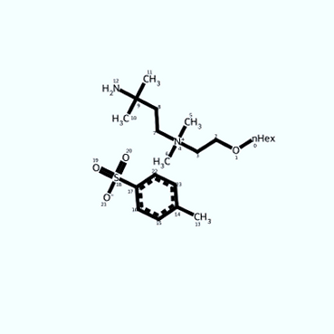 CCCCCCOCC[N+](C)(C)CCC(C)(C)N.Cc1ccc(S(=O)(=O)[O-])cc1